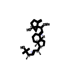 C=C1CC[C@@]2(O)CC12C(/C=C1\CCC[C@]2(C)[C@@H]([C@H](C)/C=C/[C@H](C)C(C)(C)O)CC[C@@H]12)OC